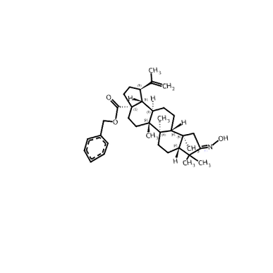 C=C(C)[C@@H]1CC[C@]2(C(=O)OCc3ccccc3)CC[C@]3(C)[C@H](CC[C@@H]4[C@@]5(C)C/C(=N\O)C(C)(C)[C@@H]5CC[C@]43C)[C@@H]12